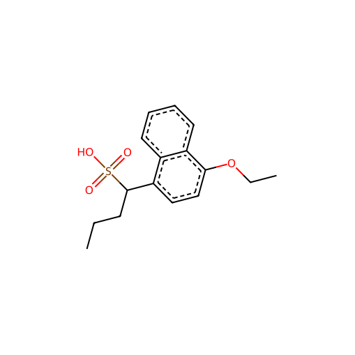 CCCC(c1ccc(OCC)c2ccccc12)S(=O)(=O)O